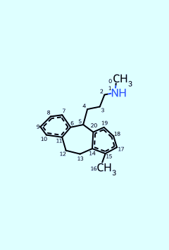 CNCCCC1c2ccccc2CCc2c(C)cccc21